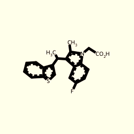 Cc1c(C(C)c2csc3ccccc23)c2cc(F)ccc2n1CC(=O)O